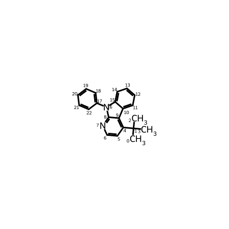 CC(C)(C)c1ccnc2c1c1ccccc1n2-c1ccccc1